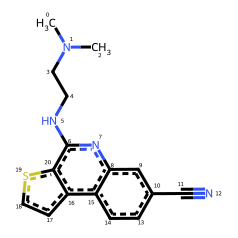 CN(C)CCNc1nc2cc(C#N)ccc2c2ccsc12